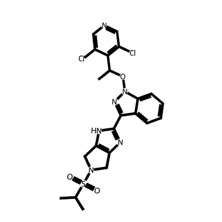 CC(On1nc(-c2nc3c([nH]2)CN(S(=O)(=O)C(C)C)C3)c2ccccc21)c1c(Cl)cncc1Cl